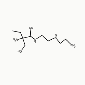 CCC(N)(CO)C(O)NCCNCCN